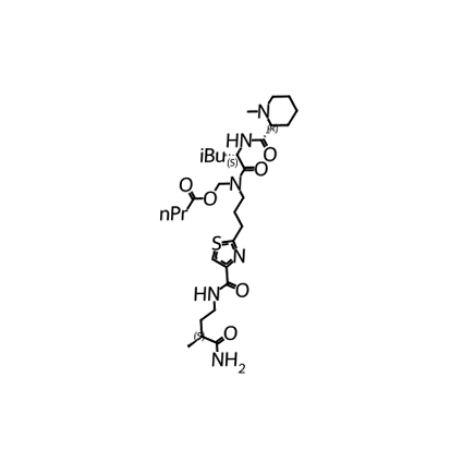 CCCC(=O)OCN(CCCc1nc(C(=O)NCC[C@H](C)C(N)=O)cs1)C(=O)[C@@H](NC(=O)[C@H]1CCCCN1C)C(C)CC